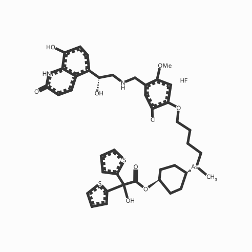 COc1cc(OCCCC[As](C)[C@H]2CC[C@H](OC(=O)C(O)(c3cccs3)c3cccs3)CC2)c(Cl)cc1CNC[C@H](O)c1ccc(O)c2[nH]c(=O)ccc12.F